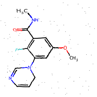 CNC(=O)c1cc(OC)cc(N2C=NC=CC2)c1F